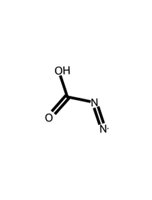 [N]=NC(=O)O